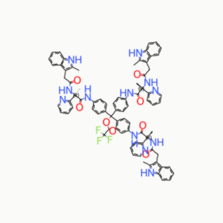 Cc1[nH]c2ccccc2c1CC(=O)N[C@@](C)(C(=O)Nc1ccc(C(OC(=O)C(F)(F)F)(c2ccc(NC(=O)[C@](C)(NC(=O)Cc3c(C)[nH]c4ccccc34)c3ccccn3)cc2)c2ccc(NC(=O)[C@](C)(NC(=O)Cc3c(C)[nH]c4ccccc34)c3ccccn3)cc2)cc1)c1ccccn1